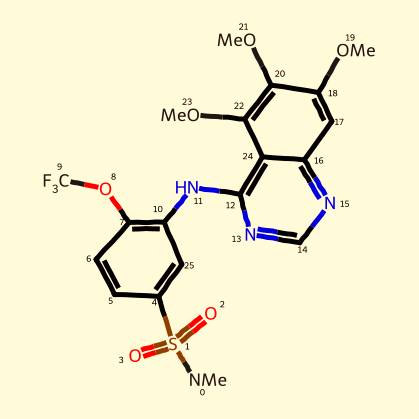 CNS(=O)(=O)c1ccc(OC(F)(F)F)c(Nc2ncnc3cc(OC)c(OC)c(OC)c23)c1